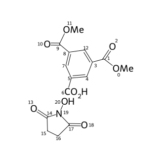 COC(=O)c1cc(C(=O)O)cc(C(=O)OC)c1.O=C1CCC(=O)N1O